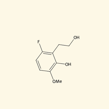 COc1ccc(F)c(CCO)c1O